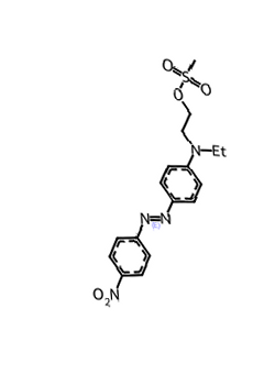 CCN(CCOS(C)(=O)=O)c1ccc(/N=N/c2ccc([N+](=O)[O-])cc2)cc1